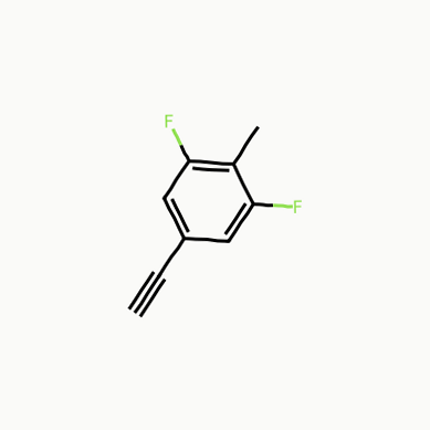 C#Cc1cc(F)c(C)c(F)c1